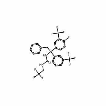 O=C(NCC(F)(F)F)N[C@@](Cc1ccccc1)(c1cccc(C(F)(F)F)c1)c1ccc(F)c(C(F)(F)F)c1